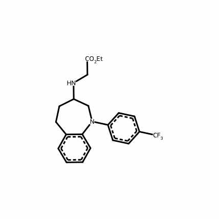 CCOC(=O)CNC1CCc2ccccc2N(c2ccc(C(F)(F)F)cc2)C1